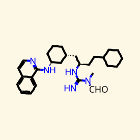 CN(C=O)C(=N)N[C@H](CCC1CCCCC1)C[C@H]1CCC[C@@H](Nc2nccc3ccccc23)C1